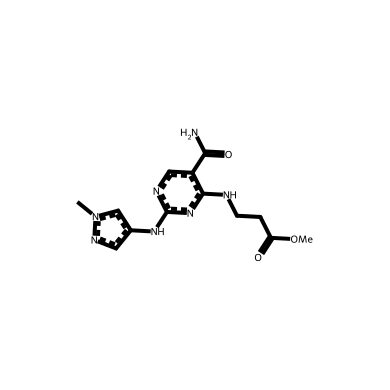 COC(=O)CCNc1nc(Nc2cnn(C)c2)ncc1C(N)=O